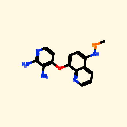 CPNc1ccc(Oc2ccnc(N)c2N)c2ncccc12